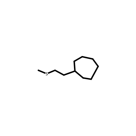 CSCC[C]1CCCCCC1